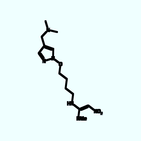 CNC(=C[N+](=O)[O-])NCCCCOn1cc(CN(C)C)cn1